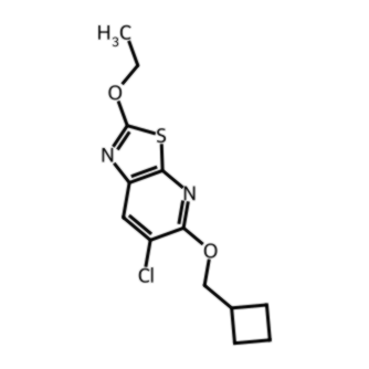 CCOc1nc2cc(Cl)c(OCC3CCC3)nc2s1